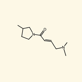 CC1CCN(C(=O)C=CCN(C)C)C1